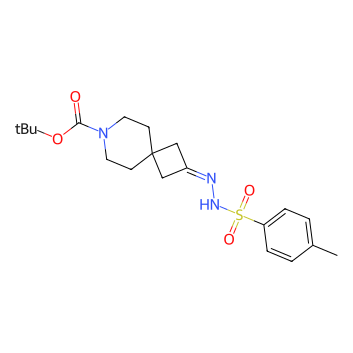 Cc1ccc(S(=O)(=O)NN=C2CC3(CCN(C(=O)OC(C)(C)C)CC3)C2)cc1